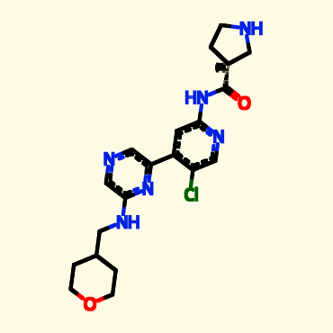 O=C(Nc1cc(-c2cncc(NCC3CCOCC3)n2)c(Cl)cn1)[C@@H]1CCNC1